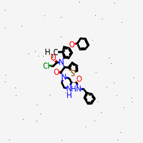 Cc1cc(OC2C=CC=CC2)ccc1N(C(=O)CCl)[C@H](C(=O)N1CCN[C@@H](C(=O)NCc2ccccc2)C1)c1cccs1